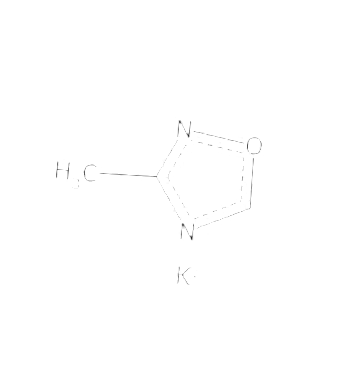 Cc1ncon1.[K]